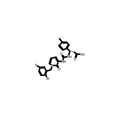 Cc1ccc([C@H](CC(=O)O)NC(=O)Nc2cccn(Cc3cc(F)ccc3Br)c2=O)cc1